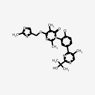 Cc1nc(COc2nc(C)n(-c3cc(-c4nc(C(C)(C)O)ncc4C)ccc3Cl)c(=O)c2C)co1